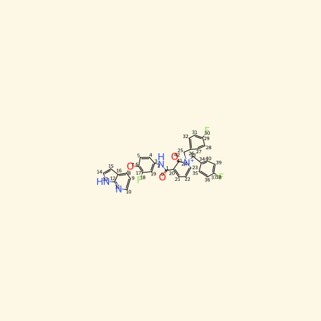 O=C(Nc1ccc(Oc2ccnc3[nH]ccc23)c(F)c1)C1=CC=C[N+](Cc2ccc(F)cc2)(Cc2ccc(F)cc2)C1=O